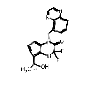 C[C@H](O)c1cccc2c1OC(F)(F)C(=O)N2Cc1cccc2nccnc12